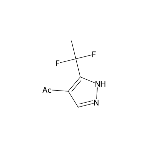 CC(=O)c1cn[nH]c1C(C)(F)F